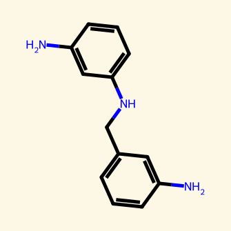 Nc1cccc(CNc2cccc(N)c2)c1